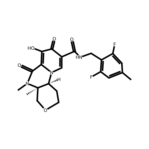 Cc1cc(F)c(CNC(=O)c2cn3c(c(O)c2=O)C(=O)N(C)[C@]2(C)COCC[C@H]32)c(F)c1